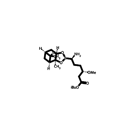 CO[C@@H](CC[C@H](N)B1O[C@@H]2C[C@@H]3C[C@@H](C3(C)C)[C@]2(C)O1)CC(=O)OCC(C)C